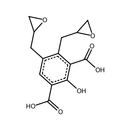 O=C(O)c1cc(CC2CO2)c(CC2CO2)c(C(=O)O)c1O